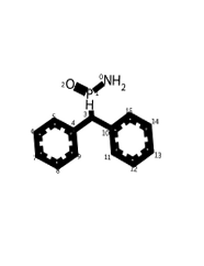 N[PH](=O)C(c1ccccc1)c1ccccc1